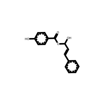 O=C(OC(O)/C=C/c1ccccc1)c1ccc(O)cc1